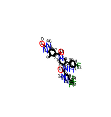 COc1nc2c(C)cc(C(=O)N3CC[C@@H](NC(=O)c4cc(C(F)(F)F)nn4C)[C@@H](c4ccc(F)cc4)C3)cc2n1C